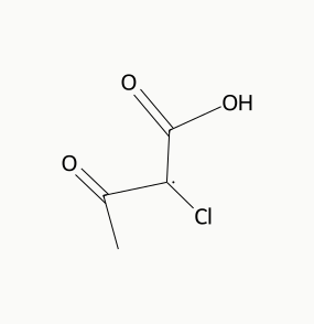 CC(=O)[C](Cl)C(=O)O